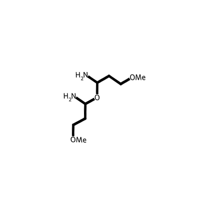 COCCC(N)OC(N)CCOC